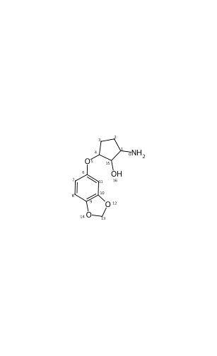 NC1CCC(Oc2ccc3c(c2)OCO3)C1O